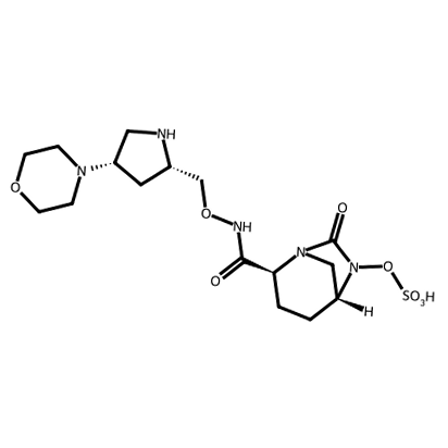 O=C(NOC[C@@H]1C[C@H](N2CCOCC2)CN1)[C@@H]1CC[C@@H]2CN1C(=O)N2OS(=O)(=O)O